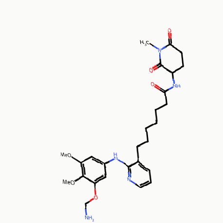 COc1cc(Nc2ncccc2CCCCCCC(=O)NC2CCC(=O)N(C)C2=O)cc(OCN)c1OC